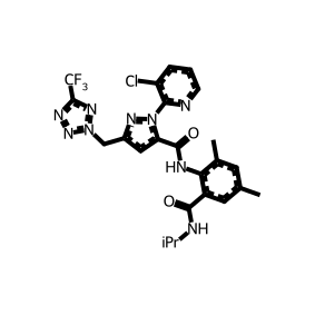 Cc1cc(C)c(NC(=O)c2cc(Cn3nnc(C(F)(F)F)n3)nn2-c2ncccc2Cl)c(C(=O)NC(C)C)c1